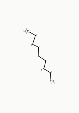 CCCCC[CH]SCC